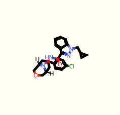 O=C(N[C@H]1C[C@H]2COC[C@@H](C1)N2Cc1ccc(Cl)cc1)c1nn(CC2CC2)c2ccccc12